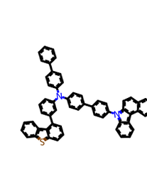 c1ccc(-c2ccc(N(c3ccc(-c4ccc(-n5c6ccccc6c6c7ccccc7ccc65)cc4)cc3)c3cccc(-c4cccc5sc6ccccc6c45)c3)cc2)cc1